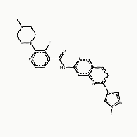 CN1CCN(c2nccc(C(=O)Nc3cc4nc(-c5cnn(C)c5)ccc4cn3)c2F)CC1